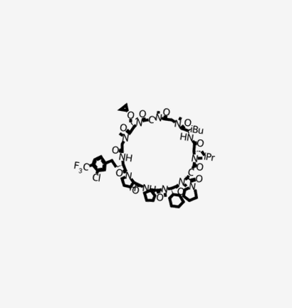 CC[C@H](C)[C@@H]1NC(=O)[C@H](CC(C)C)N(C)C(=O)C[C@@H](C(=O)N2CCCCC2)N(C)C(=O)[C@H](C2CCCCC2)N(C)C(=O)C2(CCCC2)NC(=O)[C@@H]2CCCN2C(=O)[C@H](CCc2ccc(C(F)(F)F)c(Cl)c2)NC(=O)CN(C)C(=O)[C@H](COC2CC2)N(C)C(=O)CN(C)C(=O)CN(C)C1=O